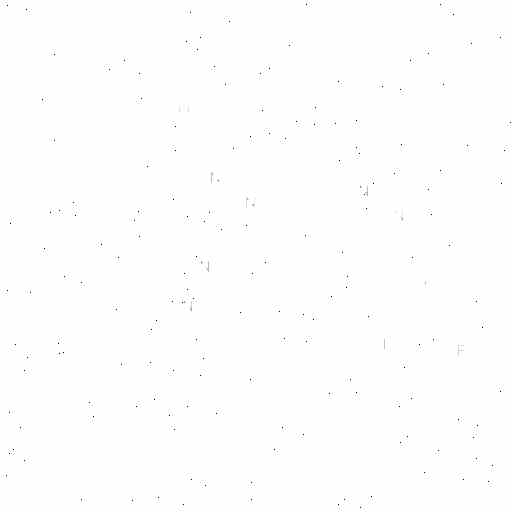 O=c1ccc(-c2ccc(OC(F)F)nn2)nn1Cc1nnc(-c2ccccc2)s1